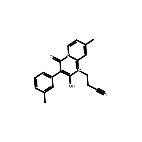 Cc1cccc(-c2c(O)[n+](CCC#N)c3cc(C)ccn3c2=O)c1